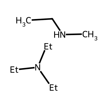 CCN(CC)CC.CCNC